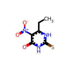 CCc1[nH]c(=S)[nH]c(=O)c1[N+](=O)[O-]